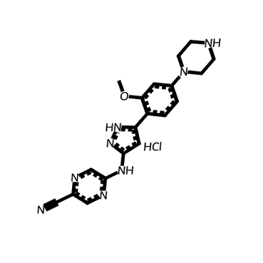 COc1cc(N2CCNCC2)ccc1-c1cc(Nc2cnc(C#N)cn2)n[nH]1.Cl